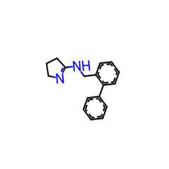 c1ccc(-c2ccccc2CNC2=NCCC2)cc1